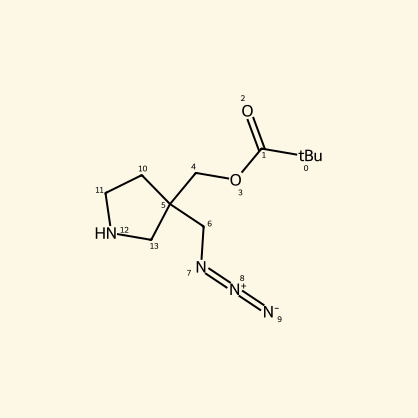 CC(C)(C)C(=O)OCC1(CN=[N+]=[N-])CCNC1